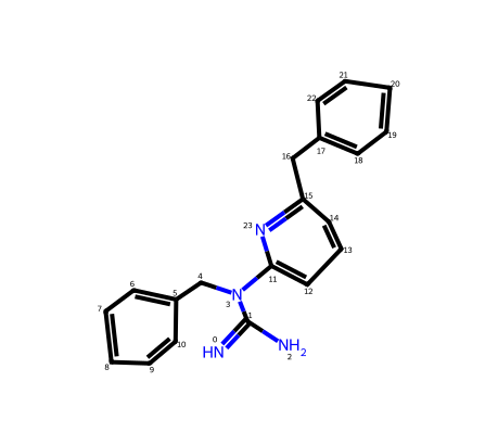 N=C(N)N(Cc1ccccc1)c1cccc(Cc2ccccc2)n1